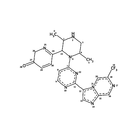 CC1NCC(C)N(c2ccnc(-c3cnc4cnc(C(F)(F)F)cn34)n2)C1C1=NCC(=O)C=C1